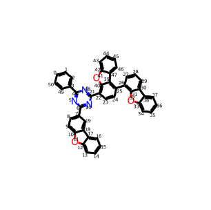 c1ccc(-c2nc(-c3ccc4oc5ccccc5c4c3)nc(-c3ccc(-c4cccc5c4oc4ccccc45)c4c3oc3ccccc34)n2)cc1